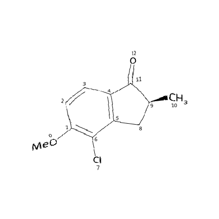 COc1ccc2c(c1Cl)C[C@H](C)C2=O